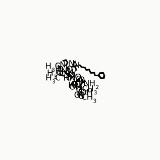 COP(=O)(O)O[C@H](C)[C@H](NC(=O)C(CO)NC(=O)[C@H](Cc1cncn1CCCCCCCCc1ccccc1)NC(=O)[C@H](CC(C)C)NC(=O)[C@@H]1CCCN1C(C)=O)C(N)=O